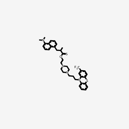 CC(Cc1cccc2c(N(C)C)cccc12)C(=S)OCCN1CCN(CCCN2c3ccccc3Sc3ccc(C(F)(F)F)cc32)CC1